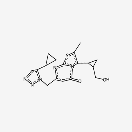 Cc1sc2nc(Cn3nncc3C3CC3)cc(=O)n2c1C1CC1CO